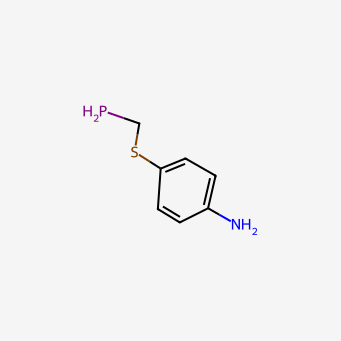 Nc1ccc(SCP)cc1